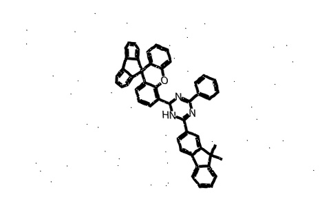 CC1(C)c2ccccc2-c2ccc(C3=NC(c4ccccc4)=NC(c4cccc5c4Oc4ccccc4C54c5ccccc5-c5ccccc54)N3)cc21